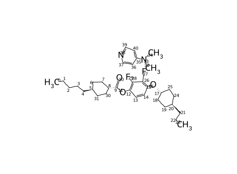 CCCCC[C@H]1CC[C@H](C(=O)Oc2ccc(O[C@H]3CC[C@H](CCC)CC3)c(F)c2F)CC1.CN(C)c1ccncc1